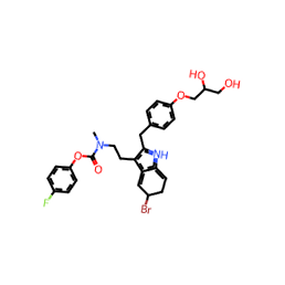 CN(CCc1c(Cc2ccc(OCC(O)CO)cc2)[nH]c2c1=CC(Br)CC=2)C(=O)Oc1ccc(F)cc1